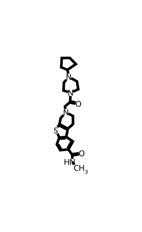 CNC(=O)c1ccc2sc3c(c2c1)CCN(CC(=O)N1CCN(C2CCCC2)CC1)C3